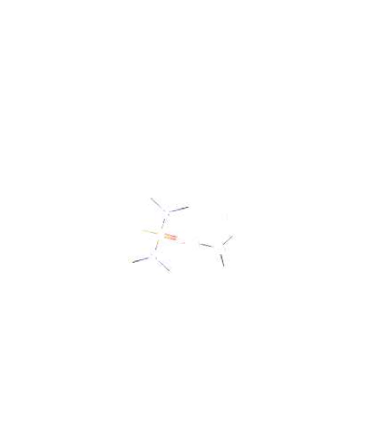 CCC[CH2][Sn+]([CH2]CCC)[CH2]CCC.CN(C)P(=O)(F)N(C)C.[F-]